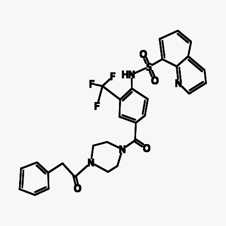 O=C(Cc1ccccc1)N1CCN(C(=O)c2ccc(NS(=O)(=O)c3cccc4cccnc34)c(C(F)(F)F)c2)CC1